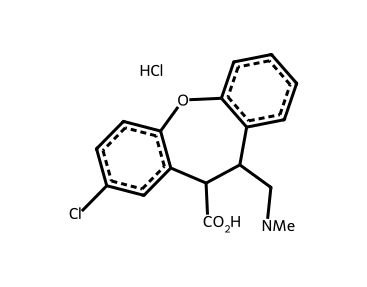 CNCC1c2ccccc2Oc2ccc(Cl)cc2C1C(=O)O.Cl